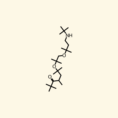 CC(CC(C)(C)OC(C)(C)COC(C)(C)CCNC(C)(C)C)C(=O)C(C)(C)C